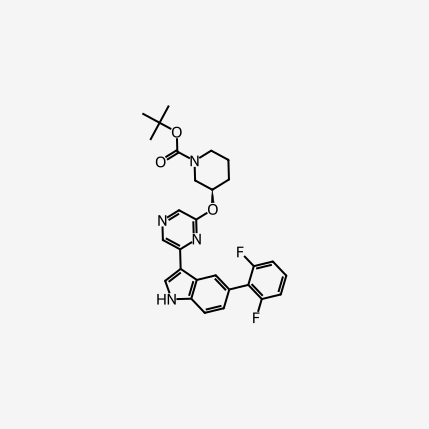 CC(C)(C)OC(=O)N1CCC[C@@H](Oc2cncc(-c3c[nH]c4ccc(-c5c(F)cccc5F)cc34)n2)C1